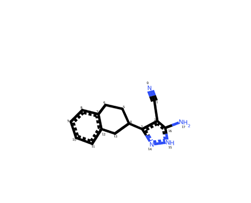 N#Cc1c(C2CCc3ccccc3C2)n[nH]c1N